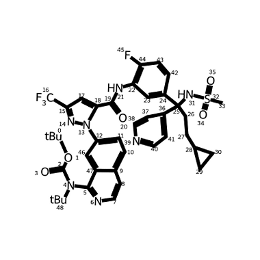 CC(C)(C)OC(=O)N(c1nccc2ccc(-n3nc(C(F)(F)F)cc3C(=O)Nc3cc(C(CCC4CC4)(NS(C)(=O)=O)c4ccncc4)ccc3F)cc12)C(C)(C)C